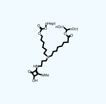 CCCCCCCCC(CCCCCCCC)OC(=O)CCCCCCCN(CCCCCCOC(=O)OCCCCCCC)CCCNC1=C(NC)C(O)C1=O